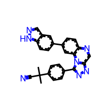 CC(C)(C#N)c1ccc(-c2nnc3cnc4ccc(-c5ccc6[nH]ncc6c5)cc4n23)cc1